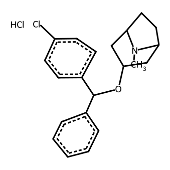 CN1C2CCC1CC(OC(c1ccccc1)c1ccc(Cl)cc1)C2.Cl